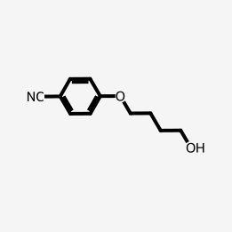 N#Cc1ccc(OCCCCO)cc1